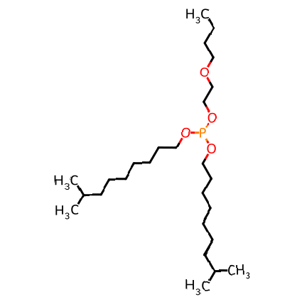 CCCCOCCOP(OCCCCCCCC(C)C)OCCCCCCCC(C)C